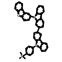 C[Si](C)(C)c1ccc(-n2c3ccccc3c3cc(-c4ccc5c6ccccc6n(-c6ccc7oc8ccccc8c7c6)c5c4)ccc32)cc1